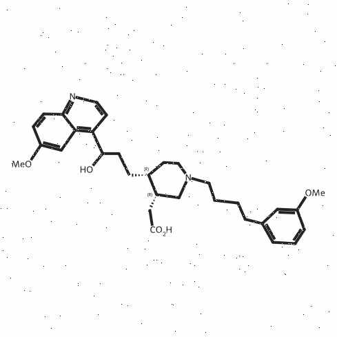 COc1cccc(CCCCN2CC[C@@H](CCC(O)c3ccnc4ccc(OC)cc34)[C@@H](CC(=O)O)C2)c1